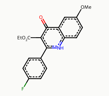 CCOC(=O)c1c(-c2ccc(F)cc2)[nH]c2ccc(OC)cc2c1=O